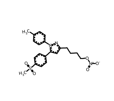 Cc1ccc(-n2nc(CCCCO[N+](=O)[O-])cc2-c2ccc(S(C)(=O)=O)cc2)cc1